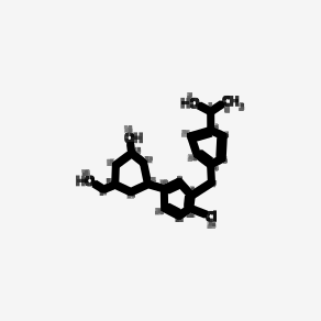 CC(O)c1ccc(Cc2cc(C3CC(O)CC(CO)C3)ccc2Cl)cc1